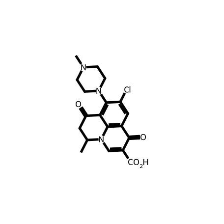 CC1CC(=O)c2c(N3CCN(C)CC3)c(Cl)cc3c(=O)c(C(=O)O)cn1c23